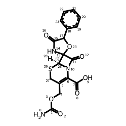 NC(=O)OCC1=C(C(=O)O)N2C(=O)C3(NC(=O)C(c4ccccc4)O3)[C@@H]2SC1